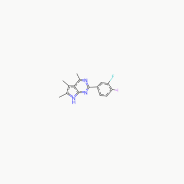 Cc1[nH]c2nc(-c3ccc(I)c(F)c3)nc(C)c2c1C